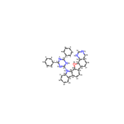 c1ccc(-c2nc(-c3ccccc3)nc(-n3c4ccccc4c4ccc5c6ccc7cncnc7c6oc5c43)n2)cc1